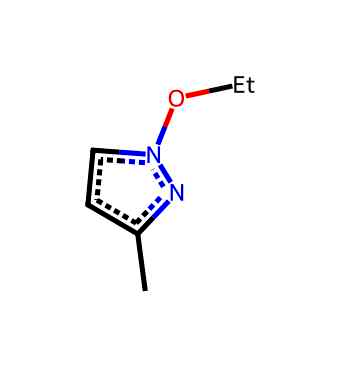 CCOn1ccc(C)n1